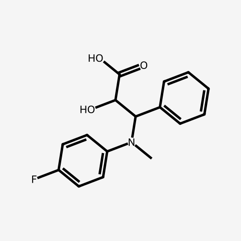 CN(c1ccc(F)cc1)C(c1ccccc1)C(O)C(=O)O